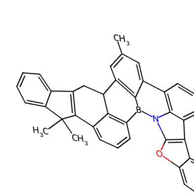 Cc1cc2c3c(c1)C1CC4=C(c5cccc(c51)B3n1c3oc5ccccc5c3c3cccc-2c31)C(C)(C)c1ccccc14